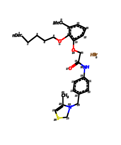 Br.CCCCCCCCCCCCCCOc1c(OC)cccc1OCC(=O)Nc1ccc(CN2CSC=C2C)cc1